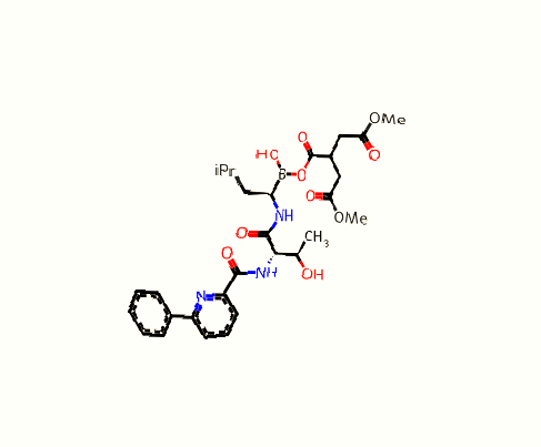 COC(=O)CC(CC(=O)OC)C(=O)OB(O)[C@H](CC(C)C)NC(=O)[C@@H](NC(=O)c1cccc(-c2ccccc2)n1)[C@@H](C)O